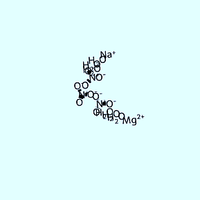 O.O.O.O.O.O.O=[N+]([O-])[O-].O=[N+]([O-])[O-].O=[N+]([O-])[O-].[Mg+2].[Na+]